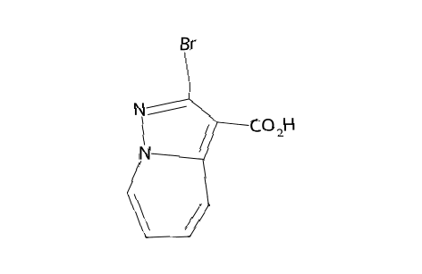 O=C(O)c1c(Br)nn2ccccc12